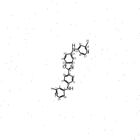 Cc1cc(Nc2ccc(-c3nc4cc(Nc5ccnc(C)c5)ccc4o3)cc2)ccn1